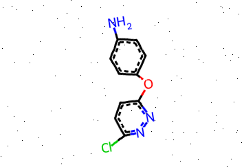 Nc1ccc(Oc2ccc(Cl)nn2)cc1